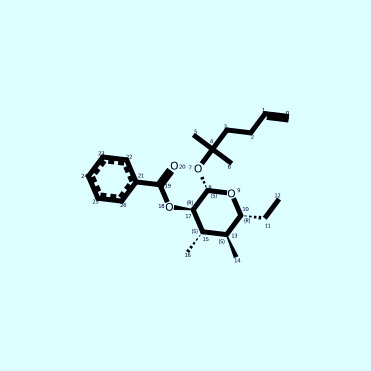 C=CCCC(C)(C)O[C@@H]1O[C@H](CC)[C@@H](C)[C@H](C)[C@H]1OC(=O)c1ccccc1